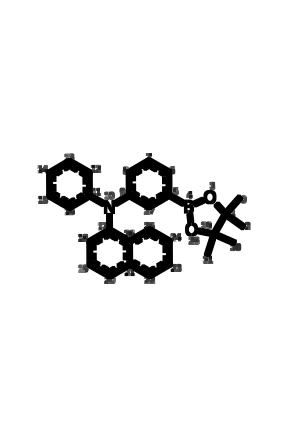 CC1(C)OB(c2cccc(N(c3ccccc3)c3cccc4ccccc34)c2)OC1(C)C